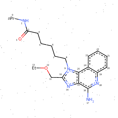 CCCNC(=O)CCCCCn1c(COCC)nc2c(N)nc3ccccc3c21